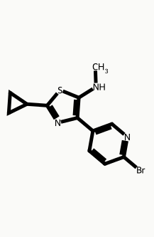 CNc1sc(C2CC2)nc1-c1ccc(Br)nc1